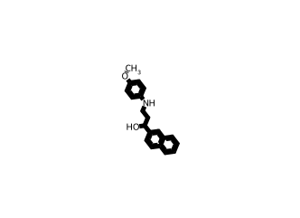 COc1ccc(NCCC(O)c2ccc3ccccc3c2)cc1